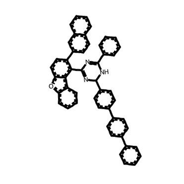 c1ccc(C2=NC(c3c(-c4ccc5ccccc5c4)ccc4oc5ccccc5c34)=NC(c3ccc(-c4ccc(-c5ccccc5)cc4)cc3)N2)cc1